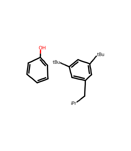 CC(C)Cc1cc(C(C)(C)C)cc(C(C)(C)C)c1.Oc1ccccc1